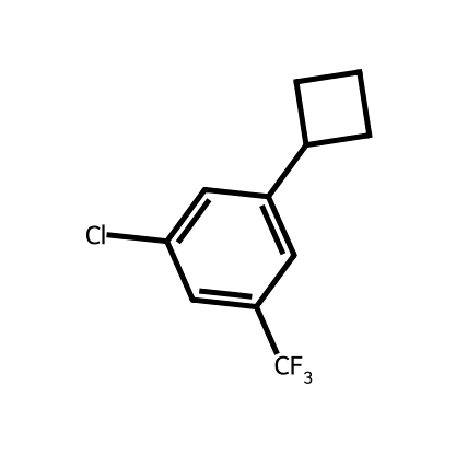 FC(F)(F)c1cc(Cl)cc(C2CCC2)c1